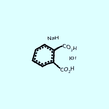 O=C(O)c1ccccc1C(=O)O.[KH].[NaH]